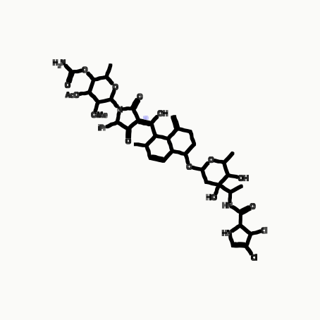 C=C1CCC(OC2CC(O)(C(C)NC(=O)C3NC=C(Cl)C3Cl)C(O)C(C)O2)C2C=CC(C)C(/C(O)=C3\C(=O)C(C(C)C)N(C4OC(C)C(OC(N)=O)C(OC(C)=O)C4OC)C3=O)C12